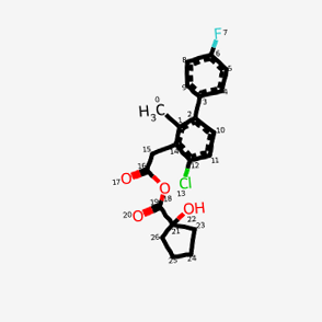 Cc1c(-c2ccc(F)cc2)ccc(Cl)c1CC(=O)OC(=O)C1(O)CCCC1